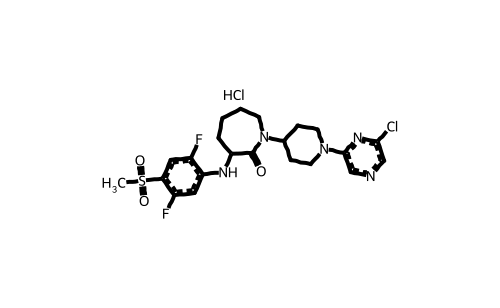 CS(=O)(=O)c1cc(F)c(NC2CCCCN(C3CCN(c4cncc(Cl)n4)CC3)C2=O)cc1F.Cl